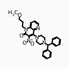 COCCCn1c(=O)c([N+](=O)[O-])c(N2CCN(C(c3ccccc3)c3ccccc3)CC2)c2ncccc21